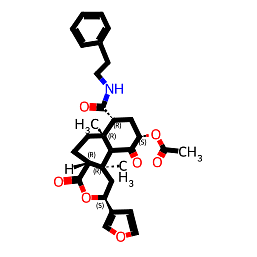 CC(=O)O[C@H]1C[C@@H](C(=O)NCCc2ccccc2)[C@]2(C)CC[C@H]3C(=O)O[C@H](c4ccoc4)C[C@]3(C)C2C1=O